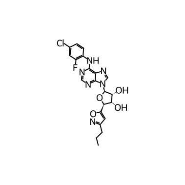 CCCc1cc([C@H]2O[C@@H](n3cnc4c(Nc5ccc(Cl)cc5F)ncnc43)[C@H](O)[C@@H]2O)on1